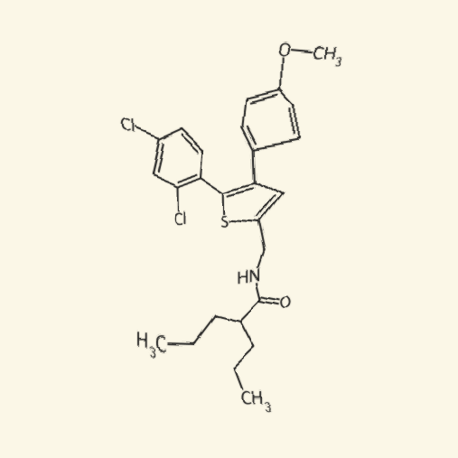 CCCC(CCC)C(=O)NCc1cc(-c2ccc(OC)cc2)c(-c2ccc(Cl)cc2Cl)s1